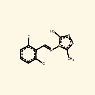 Cc1nnc(S)n1N=Cc1c(Cl)cccc1Cl